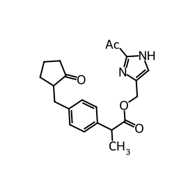 CC(=O)c1nc(COC(=O)C(C)c2ccc(CC3CCCC3=O)cc2)c[nH]1